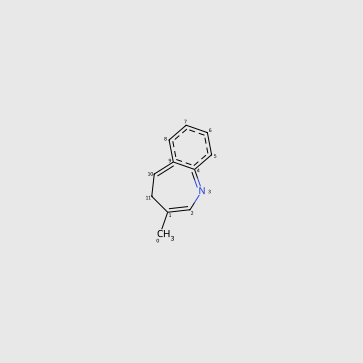 CC1=CN=c2ccccc2=CC1